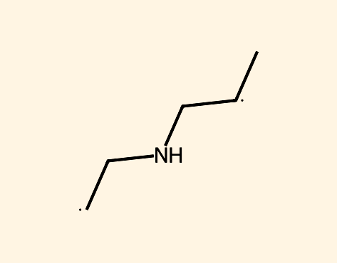 [CH2]CNC[CH]C